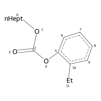 CCCCCCCOC(=O)Oc1ccccc1CC